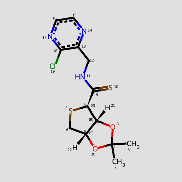 CC1(C)O[C@@H]2[C@@H](CS[C@H]2C(=S)NCc2nccnc2Cl)O1